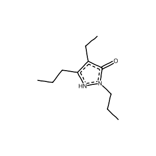 CCCc1[nH]n(CCC)c(=O)c1CC